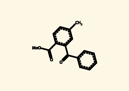 COC(=O)c1ccc(C)cc1C(=O)c1ccccc1